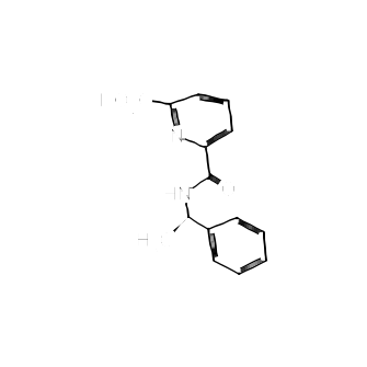 C[C@@H](NC(=O)c1cccc(C(=O)O)n1)c1ccccc1